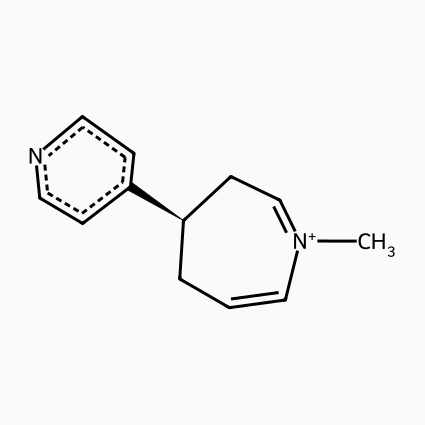 C[N+]1=CC[C@H](c2ccncc2)CC=C1